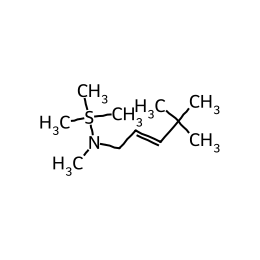 CN(C/C=C/C(C)(C)C)S(C)(C)C